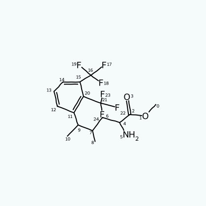 COC(=O)C(N)CC(C)C(C)c1cccc(C(F)(F)F)c1C(F)(F)F